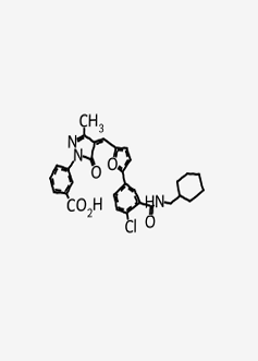 CC1=NN(c2cccc(C(=O)O)c2)C(=O)C1=Cc1ccc(-c2ccc(Cl)c(C(=O)NCC3CCCCC3)c2)o1